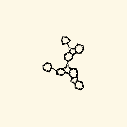 c1ccc(-c2ccc3c4c5sc6ccccc6c5ccc4n(-c4ccc5c(c4)c4ccccc4n5-c4ccccc4)c3c2)cc1